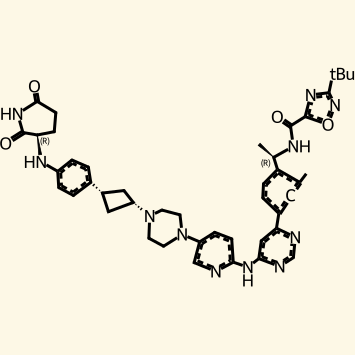 Cc1cc(-c2cc(Nc3ccc(N4CCN([C@H]5C[C@@H](c6ccc(N[C@@H]7CCC(=O)NC7=O)cc6)C5)CC4)cn3)ncn2)ccc1[C@@H](C)NC(=O)c1nc(C(C)(C)C)no1